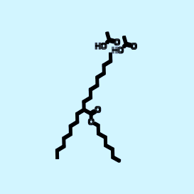 CC(=O)O.CC(=O)O.CCCCCCCCCC(CCCCCCCC)C(=O)OCCCCCCC